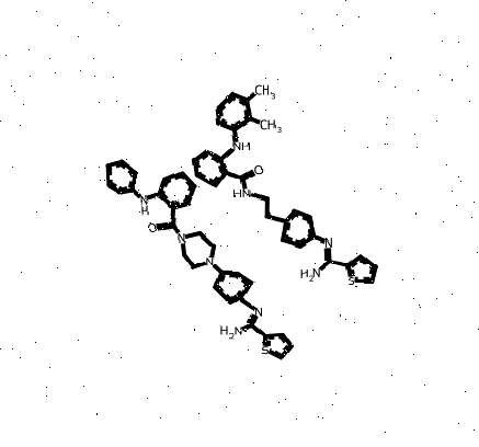 Cc1cccc(Nc2ccccc2C(=O)NCCc2ccc(N=C(N)c3cccs3)cc2)c1C.NC(=Nc1ccc(N2CCN(C(=O)c3ccccc3Nc3ccccc3)CC2)cc1)c1cccs1